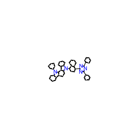 c1ccc(-c2nc(-c3ccccc3)nc(-c3ccc(-n4c5ccccc5c5c4ccc4c6ccccc6n(-c6ccccc6)c45)c4ccccc34)n2)cc1